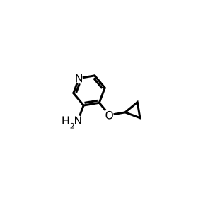 Nc1cnccc1OC1CC1